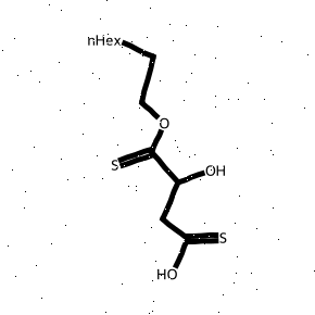 CCCCCCCCOC(=S)C(O)CC(O)=S